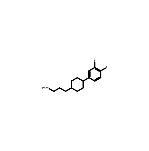 CCCC(C)CCCC1CCC(c2ccc(F)c(F)c2)CC1